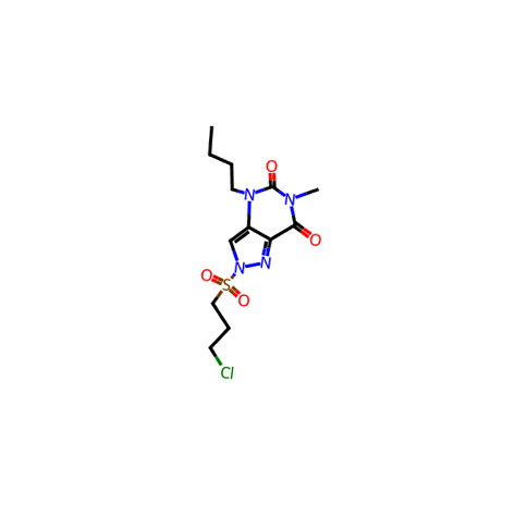 CCCCn1c(=O)n(C)c(=O)c2nn(S(=O)(=O)CCCCl)cc21